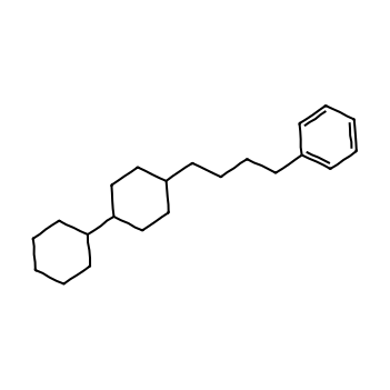 c1ccc(CCCCC2CCC(C3CCCCC3)CC2)cc1